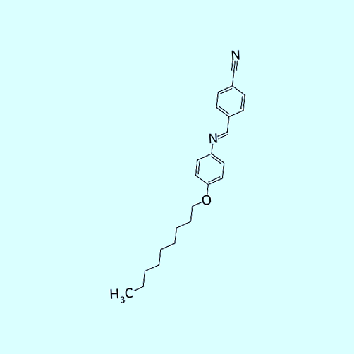 CCCCCCCCCOc1ccc(N=Cc2ccc(C#N)cc2)cc1